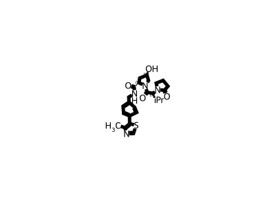 Cc1ncsc1-c1ccc(CNC(=O)[C@@H]2C[C@@H](O)CN2C(=O)[C@H](C(C)C)N2CCCC2=O)cc1